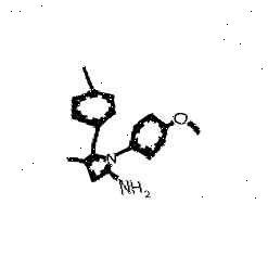 COc1ccc(-n2c(N)cc(C)c2-c2ccc(C)cc2)cc1